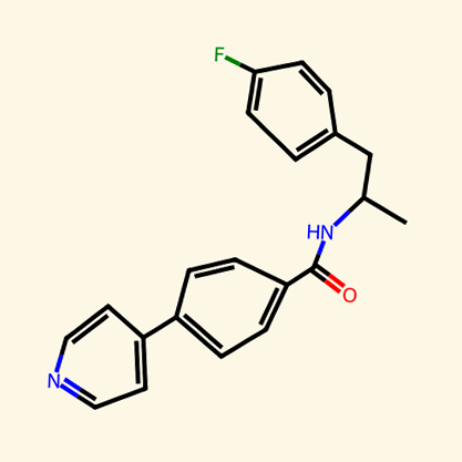 CC(Cc1ccc(F)cc1)NC(=O)c1ccc(-c2ccncc2)cc1